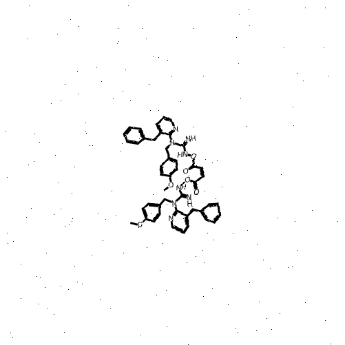 COc1ccc(CN(C(=N)NOC(=O)/C=C\C(=O)ONC(=N)N(Cc2ccc(OC)cc2)c2ncccc2Cc2ccccc2)c2ncccc2Cc2ccccc2)cc1